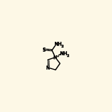 NC(=S)[N+]1(N)C=NCC1